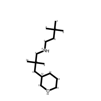 CC(C)(C)CCNCC(C)(C)CC1CCCOC1